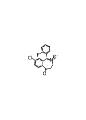 O=C1CC[N+]([O-])=C(c2ccccc2F)c2cc(Cl)ccc21